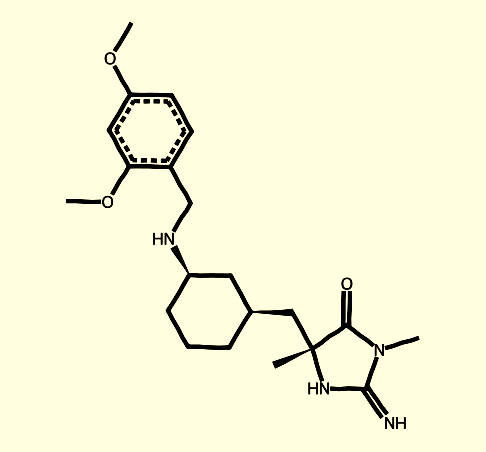 COc1ccc(CN[C@@H]2CCC[C@H](C[C@@]3(C)NC(=N)N(C)C3=O)C2)c(OC)c1